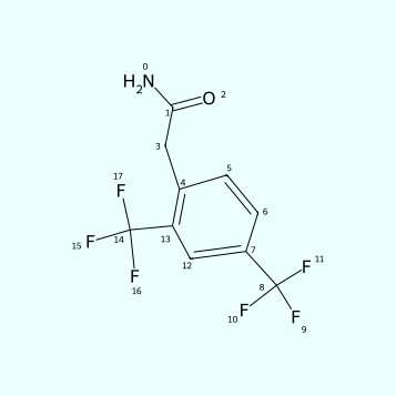 NC(=O)Cc1ccc(C(F)(F)F)cc1C(F)(F)F